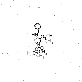 CC(C)OC1CN(C(=O)OC(C)(C)C)CCC1NCc1ccccc1